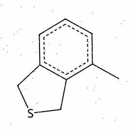 Cc1cccc2c1CSC2